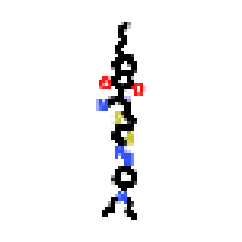 CCCCc1ccc2c(c1)C(=O)C(/C(C#N)=C/c1cc3sc(/N=N/c4ccc(N(CCC)CCC)cc4)cc3s1)C2=O